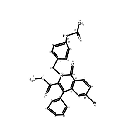 COC(=O)c1c(-c2ccccc2)c2cc(Br)ccc2c(=O)n1Cc1ccc(NC(C)=O)cc1